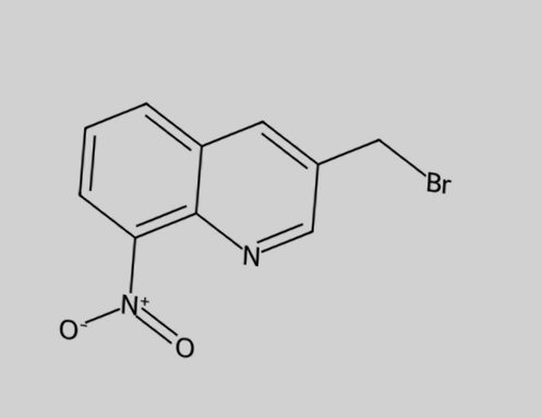 O=[N+]([O-])c1cccc2cc(CBr)cnc12